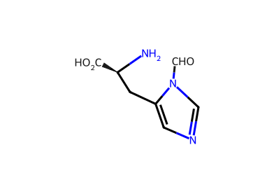 N[C@@H](Cc1cncn1C=O)C(=O)O